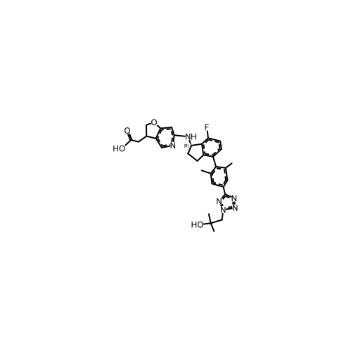 Cc1cc(-c2nnn(CC(C)(C)O)n2)cc(C)c1-c1ccc(F)c2c1CC[C@H]2Nc1cc2c(cn1)C(CC(=O)O)CO2